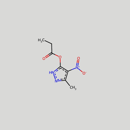 CCC(=O)Oc1[nH]nc(C)c1[N+](=O)[O-]